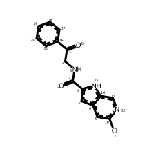 O=C(CNC(=O)c1cc2cc(Cl)ncc2[nH]1)c1ccccc1